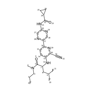 CN(CCF)C(=O)C(CC(F)F)Nc1ccc(-c2cnc(NC(=O)C3CC3)cn2)nc1C#N